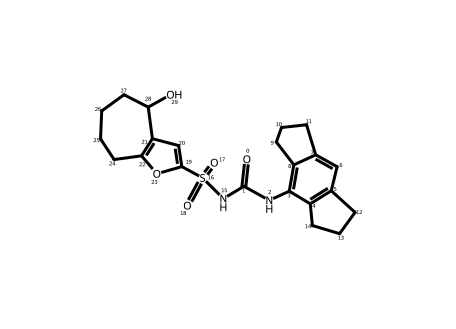 O=C(Nc1c2c(cc3c1CCC3)CCC2)NS(=O)(=O)c1cc2c(o1)CCCCC2O